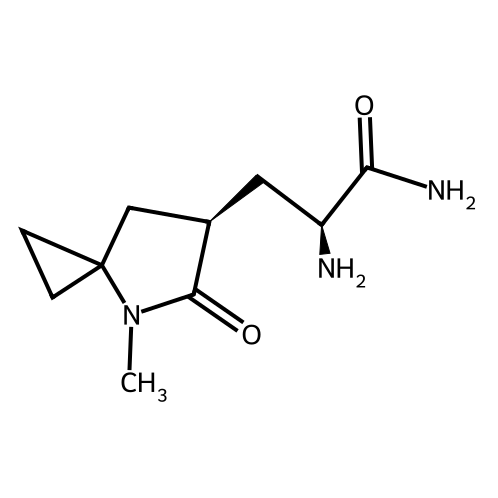 CN1C(=O)[C@H](C[C@H](N)C(N)=O)CC12CC2